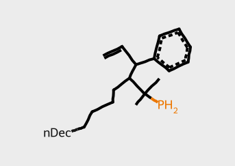 C=CC(c1ccccc1)C(CCCCCCCCCCCCCC)C(C)(C)P